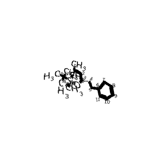 C/C=C/[C@H](CCc1ccccc1)O[Si](C)(C)C(C)(C)C